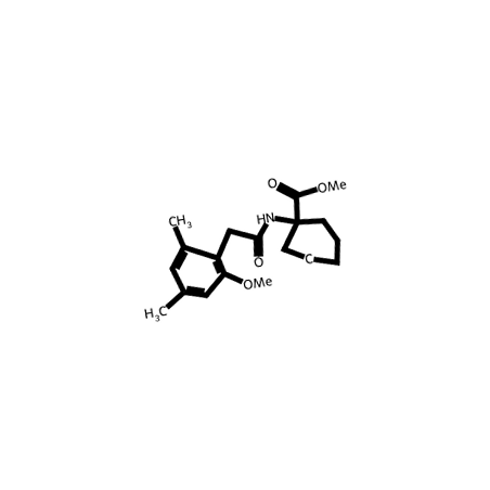 COC(=O)C1(NC(=O)Cc2c(C)cc(C)cc2OC)CCCCC1